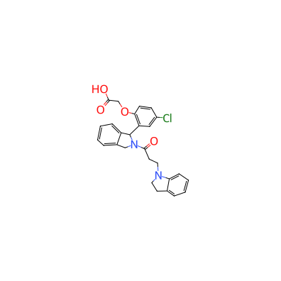 O=C(O)COc1ccc(Cl)cc1C1c2ccccc2CN1C(=O)CCN1CCc2ccccc21